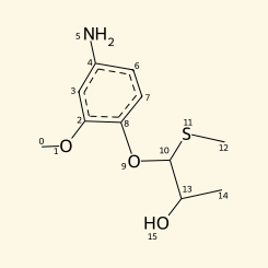 COc1cc(N)ccc1OC(SC)C(C)O